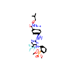 COP(=O)(OC)c1ccccc1Nc1nc(Nc2ccc(C(=O)NOCC(C)C)cc2)ncc1C(F)(F)F